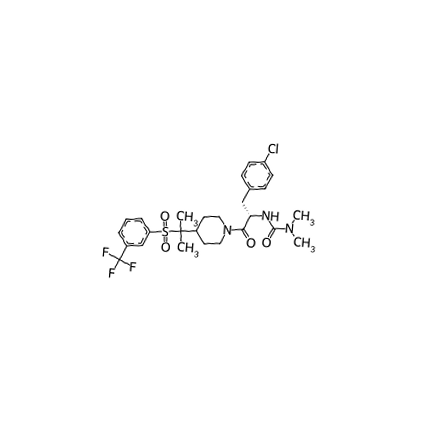 CN(C)C(=O)N[C@@H](Cc1ccc(Cl)cc1)C(=O)N1CCC(C(C)(C)S(=O)(=O)c2cccc(C(F)(F)F)c2)CC1